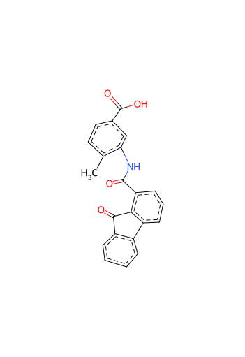 Cc1ccc(C(=O)O)cc1NC(=O)c1cccc2c1C(=O)c1ccccc1-2